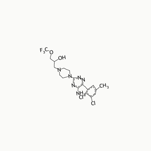 Cc1cc(Cl)c(Cl)c(-c2nnc(N3CCN(CC(O)COC(F)(F)F)CC3)nc2N)c1